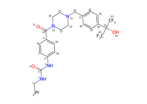 CC(C)CNC(=O)Nc1ccc(C(=O)N2CCN(Cc3ccc(C(O)(C(F)(F)F)C(F)(F)F)cc3)CC2)cc1